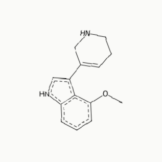 COc1cccc2[nH]cc(C3=CCCNC3)c12